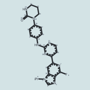 CC(C)n1cnc2c(F)nc(-c3ccnc(Nc4ccc(N5CCCNC5=O)cc4)n3)cc21